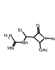 CCC(NC(=N)N)C1C(=O)N(C(C)=O)C1OC(C)=O